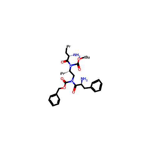 CC(C)C[C@H](N)C(=O)N(C(=O)OC(C)(C)C)[C@H](CN(C(=O)OCc1ccccc1)C(=O)[C@@H](N)Cc1ccccc1)C(C)C